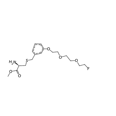 COC(=O)[C@@H](N)CSCc1cccc(OCCOCCOCCF)c1